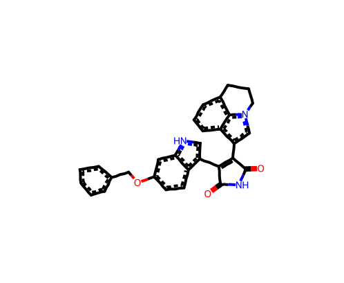 O=C1NC(=O)C(c2cn3c4c(cccc24)CCC3)=C1c1c[nH]c2cc(OCc3ccccc3)ccc12